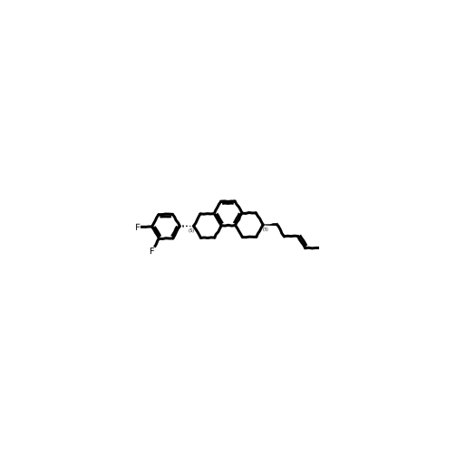 CC=CCC[C@H]1CCc2c(ccc3c2CC[C@H](c2ccc(F)c(F)c2)C3)C1